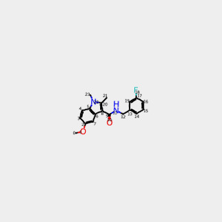 COc1ccc2c(c1)c(C(=O)NCc1cccc(F)c1)c(C)n2C